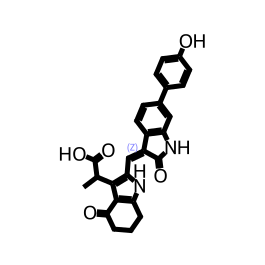 CC(C(=O)O)c1c(/C=C2\C(=O)Nc3cc(-c4ccc(O)cc4)ccc32)[nH]c2c1C(=O)CCC2